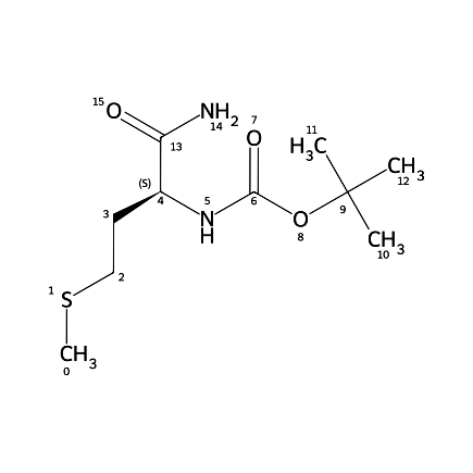 CSCC[C@H](NC(=O)OC(C)(C)C)C(N)=O